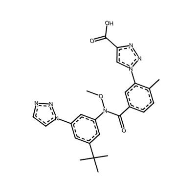 CON(C(=O)c1ccc(C)c(-n2cc(C(=O)O)nn2)c1)c1cc(-n2ccnn2)cc(C(C)(C)C)c1